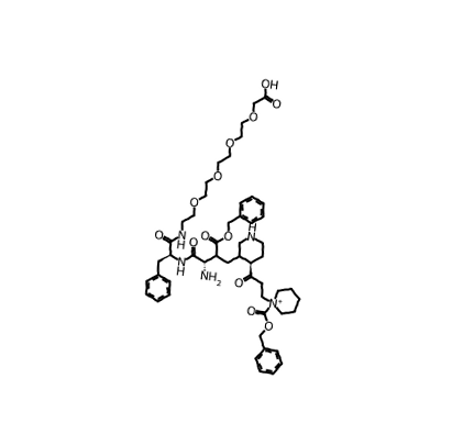 N[C@H](C(=O)N[C@@H](Cc1ccccc1)C(=O)NCCOCCOCCOCCOCC(=O)O)C(CC1CNCC[C@H]1C(=O)CC[N+]1(C(=O)OCc2ccccc2)CCCCC1)C(=O)OCc1ccccc1